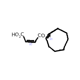 C1=C\CCCCCC/1.O=C(O)/C=C\C(=O)O